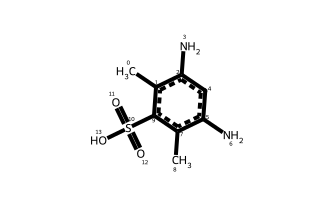 Cc1c(N)cc(N)c(C)c1S(=O)(=O)O